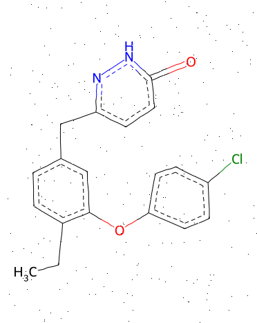 CCc1ccc(Cc2ccc(=O)[nH]n2)cc1Oc1ccc(Cl)cc1